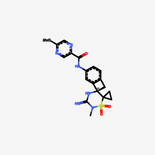 COc1cnc(C(=O)Nc2ccc3c(c2)[C@@]2(C3)NC(=N)N(C)S(=O)(=O)C23CC3)cn1